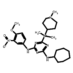 COc1ccc(Nc2nc(NC3CCCCCC3)nc([N+](C)(C)C3CCN(C)CC3)n2)cc1[N+](=O)[O-]